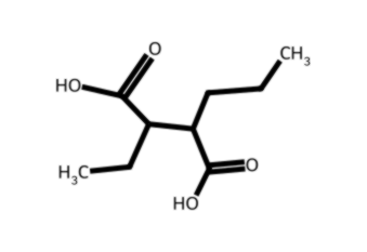 CCCC(C(=O)O)C(CC)C(=O)O